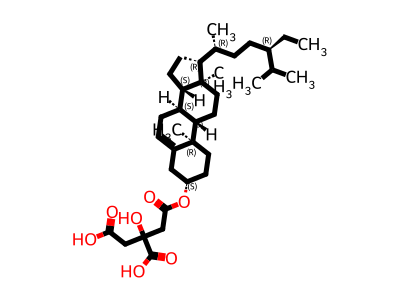 CC[C@H](CC[C@@H](C)[C@H]1CC[C@H]2[C@@H]3CC=C4C[C@@H](OC(=O)CC(O)(CC(=O)O)C(=O)O)CC[C@]4(C)[C@H]3CC[C@]12C)C(C)C